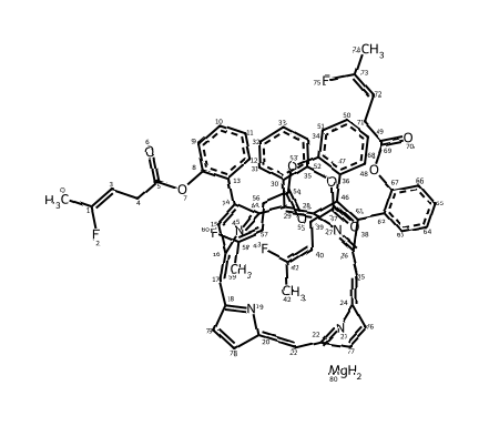 CC(F)=CCC(=O)Oc1ccccc1C1=CC2=CC3=NC(=CC4=NC(=CC5=NC(=C(c6ccccc6OC(=O)CC=C(C)F)C1=N2)C(c1ccccc1OC(=O)CC=C(C)F)=C5c1ccccc1OC(=O)CC=C(C)F)C=C4)C=C3.[MgH2]